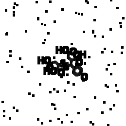 COc1ccc(C(SSC(CC(=O)O)C(=O)O)C(CC(=O)O)C(=O)O)cc1